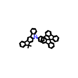 CC1(C)c2ccccc2-c2cc3c4ccccc4n(-c4cccc(-c5cccc6c5C5(c7ccccc7-c7ccccc75)c5ccccc5-6)c4)c3cc21